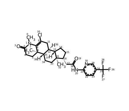 CN1C(=O)CC[C@@]2(C)C1=C(Cl)C[C@H]1[C@@H]3CC[C@H](CC(=O)Nc4ccc(C(F)(F)F)cn4)[C@@]3(C)CC[C@@H]12